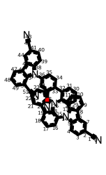 N#Cc1ccc2c(c1)c1ccccc1n2-c1cccc2c3ccccc3n(-c3ccccc3-c3ccc(-n4c5ccc(C#N)cc5c5cccc(C#N)c54)cc3C#N)c12